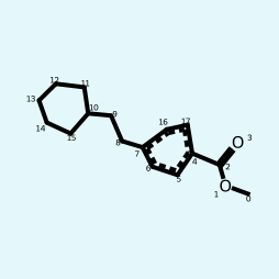 COC(=O)c1ccc(CCC2CCCCC2)cc1